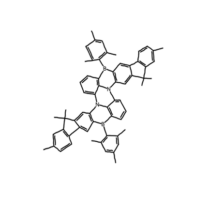 Cc1cc(C)c(B2c3cc4c(cc3N3c5cccc6c5N(c5cc7c(cc5B6c5c(C)cc(C)cc5C)-c5ccc(C)cc5C7(C)C)c5cccc2c53)C(C)(C)c2cc(C)ccc2-4)c(C)c1